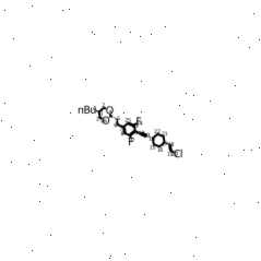 CCCC[C@H]1CO[C@H](CCc2cc(F)c(C#C[C@H]3CC[C@H](C=CCl)CC3)c(F)c2)OC1